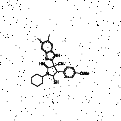 COc1ccc(C2C(S)N(C3CCCCC3)C(=N)C2(C#N)c2nc3cc(C)c(C)cc3[nH]2)cc1